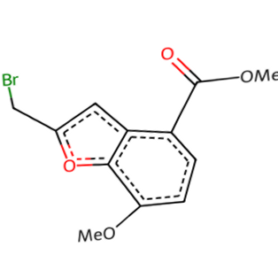 COC(=O)c1ccc(OC)c2oc(CBr)cc12